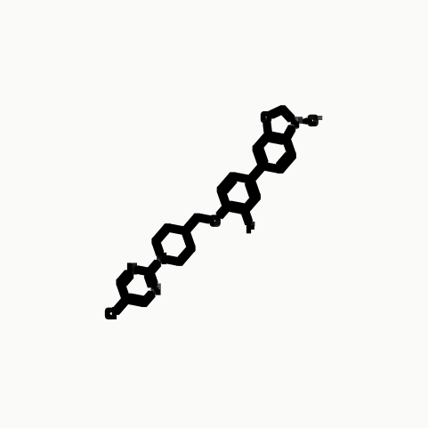 [O-][S@@+]1COc2cc(-c3ccc(OCC4CCN(c5ncc(Cl)cn5)CC4)c(F)c3)ccc21